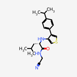 CC(C)C[C@H](Nc1cscc1-c1ccc(C(C)C)cc1)C(=O)NCC#N